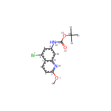 COc1ccc2c(Br)cc(NC(=O)OC(C)(C)C)cc2n1